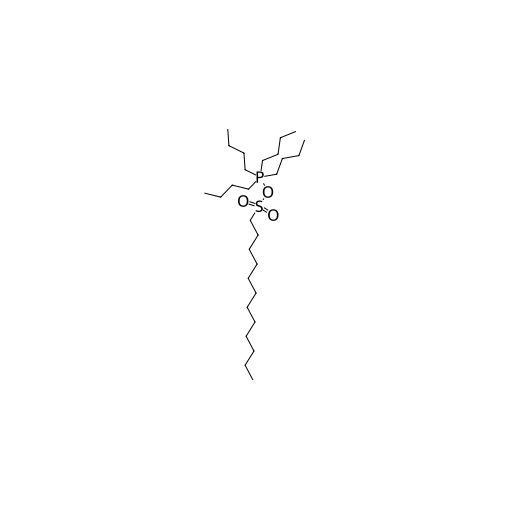 CCCCCCCCCCCCS(=O)(=O)OP(CCCC)(CCCC)(CCCC)CCCC